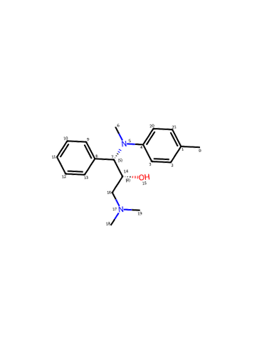 Cc1ccc(N(C)[C@@H](c2ccccc2)[C@H](O)CN(C)C)cc1